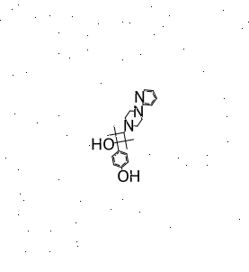 CC1(C)C(N2CCN(c3ccccn3)CC2)C(C)(C)C1(O)c1ccc(O)cc1